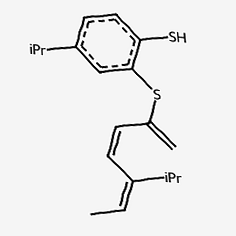 C=C(/C=C\C(=C/C)C(C)C)Sc1cc(C(C)C)ccc1S